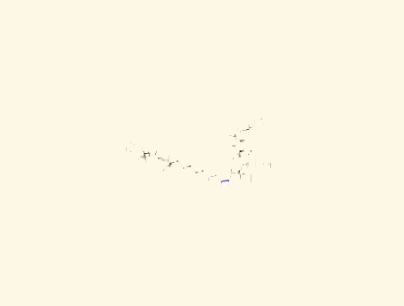 CCCCCC(OC(=O)C[N+](C)(C)CCOC(C)=O)C(O)C/C=C\CCCCCCCC(=O)OCOC(=O)CCCC